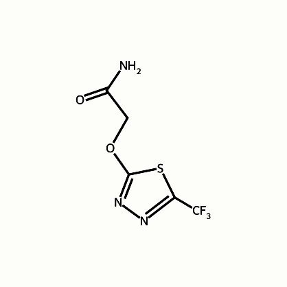 NC(=O)COc1nnc(C(F)(F)F)s1